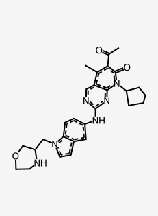 CC(=O)c1c(C)c2cnc(Nc3ccc4c(ccn4CC4COCCN4)c3)nc2n(C2CCCC2)c1=O